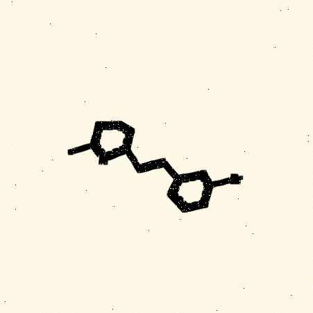 Cc1cccc(/C=C/c2cccc(Br)c2)n1